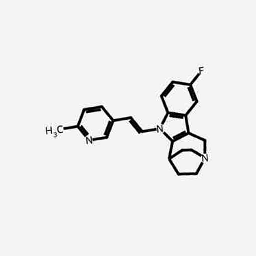 Cc1ccc(C=Cn2c3c(c4cc(F)ccc42)CN2CCC3CC2)cn1